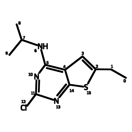 CCc1cc2c(NC(C)C)nc(Cl)nc2s1